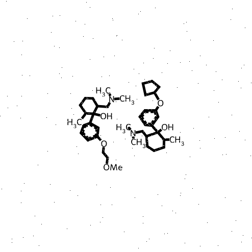 CC1CCCC(CN(C)C)C1(O)c1cccc(OC2CCCC2)c1.COCCOc1cccc(C2(O)C(C)CCCC2CN(C)C)c1